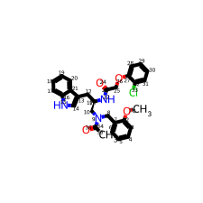 COc1ccccc1CN(C[C@@H](Cc1c[nH]c2ccccc12)NC(=O)COc1ccccc1Cl)C(C)=O